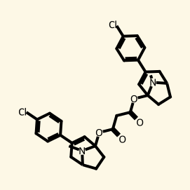 CN1C2CCC1(OC(=O)CC(=O)OC13C=C(c4ccc(Cl)cc4)CC(CC1)N3C)C=C(c1ccc(Cl)cc1)C2